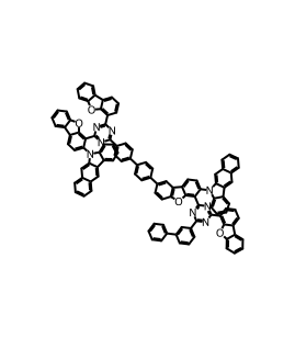 c1ccc(-c2cccc(-c3nc(-c4cccc5c4oc4ccccc45)nc(-c4c(-n5c6ccccc6c6cc7ccccc7cc65)ccc5c4oc4ccc(-c6ccc(-c7ccc(-c8nc(-c9cccc%10c9oc9ccccc9%10)nc(-c9c(-n%10c%11ccccc%11c%11cc%12ccccc%12cc%11%10)ccc%10c9oc9ccccc9%10)n8)cc7)cc6)cc45)n3)c2)cc1